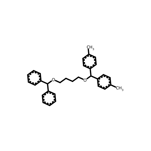 Cc1ccc(C(OCCCCOC(c2ccccc2)c2ccccc2)c2ccc(C)cc2)cc1